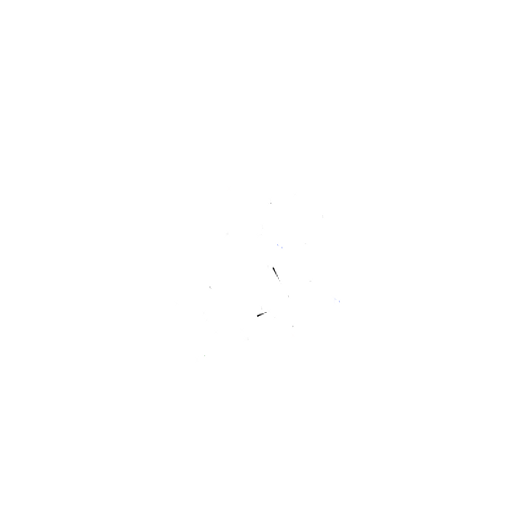 O=C(O)c1cccn(C[C@H]2CNCCO[C@H]2c2ccc(Cl)c(Cl)c2)c1=O